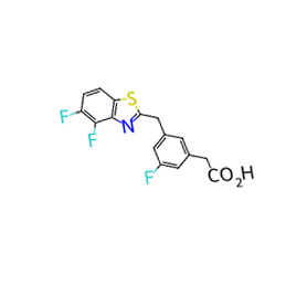 O=C(O)Cc1cc(F)cc(Cc2nc3c(F)c(F)ccc3s2)c1